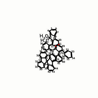 CC1(C)c2ccccc2-c2cccc(-c3ccncc3N(c3ccc4c(c3)C3(c5ccccc5-c5ccccc53)c3ccccc3-4)c3cccc(-c4ccccc4)c3-c3ccccc3)c21